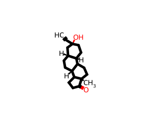 C#C[C@]1(O)CC[C@@H]2C3CC[C@]4(C)C(=O)CCC4[C@@H]3CC[C@@H]2C1